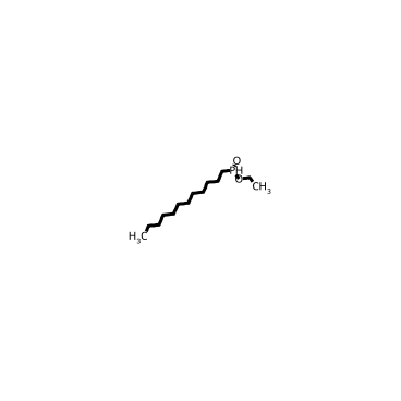 CCCCCCCCCCCC[PH](=O)OCC